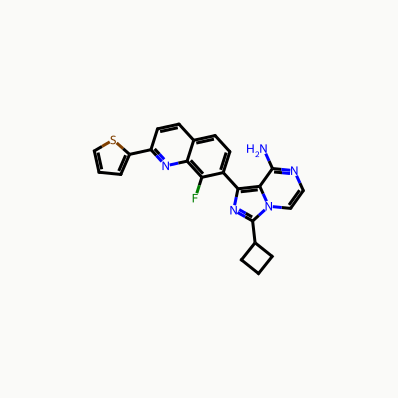 Nc1nccn2c(C3CCC3)nc(-c3ccc4ccc(-c5cccs5)nc4c3F)c12